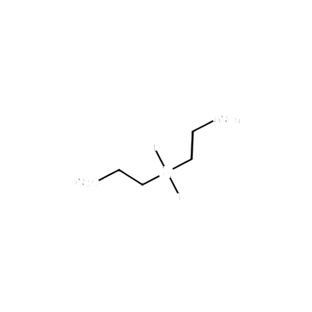 CCCCCCCCCCC[Te](I)(I)CCCCCCCCCCC